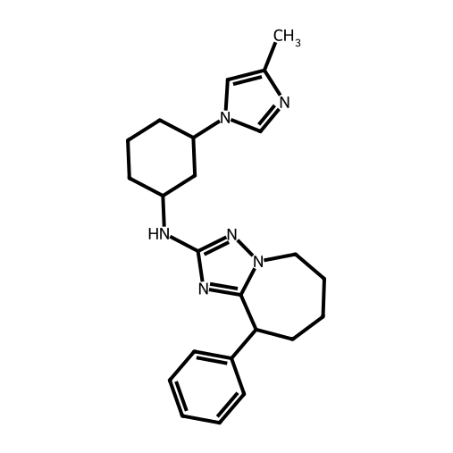 Cc1cn(C2CCCC(Nc3nc4n(n3)CCCCC4c3ccccc3)C2)cn1